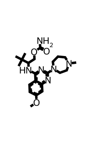 COc1ccc2c(NC(COC(N)=O)C(C)(C)C)nc(N3CCCN(C)CC3)nc2c1